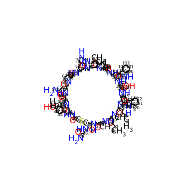 CCCC[C@H]1C(=O)N(C)[C@@H](CCCC)C(=O)N[C@@H](C)C(=O)N[C@H](C(=O)NCC(N)=O)CSCC(=O)N[C@@H](Cc2ccc(O)cc2)C(=O)N(C)[C@@H](C)C(=O)N[C@@H](CC(N)=O)C(=O)N2CCC[C@H]2C(=O)N[C@@H](Cc2c[nH]cn2)C(=O)N[C@@H](CC(C)C)C(=O)N2CCC[C@H]2C(=O)N[C@@H](Cc2c[nH]c3ccccc23)C(=O)N[C@@H](CO)C(=O)N[C@@H](Cc2c[nH]c3ccccc23)C(=O)N1C